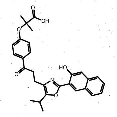 CC(C)c1oc(-c2cc3ccccc3cc2O)nc1CCC(=O)c1ccc(OC(C)(C)C(=O)O)cc1